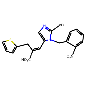 CCCCc1ncc(C=C(Cc2cccs2)C(=O)O)n1Cc1ccccc1[N+](=O)[O-]